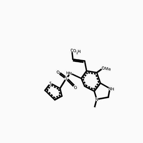 COc1c(C=CC(=O)O)c(NS(=O)(=O)c2cccs2)cc2c1NCN2C